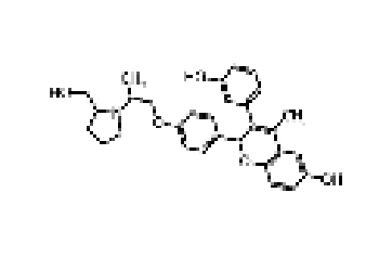 CC1=C(c2cccc(O)c2)C(c2ccc(OCC(C)N3CCCC3CO)cc2)Oc2ccc(O)cc21